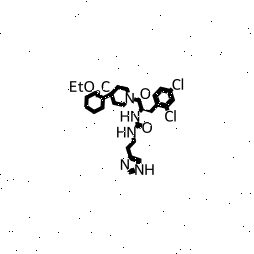 CCOC(=O)C1(C2CCCCC2)CCN(C(=O)[C@@H](Cc2ccc(Cl)cc2Cl)NC(=O)NCCc2c[nH]cn2)CC1